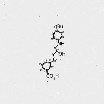 CC(C)(C)c1ccc(NCC(O)COc2cccc(C(=O)O)c2)cc1